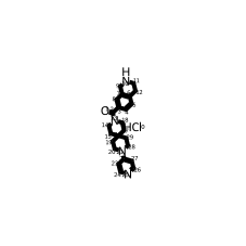 Cl.O=C(c1ccc2c(c1)CNCC2)N1CCC2(CC1)CCN(c1ccncc1)CC2